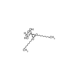 CCCCCCCCCCOc1cc(OCCCCCCCCCC)cc(N(CC(=O)O)C(C)CC(=O)O)c1